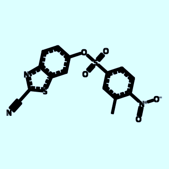 Cc1cc(S(=O)(=O)Oc2ccc3nc(C#N)sc3c2)ccc1[N+](=O)[O-]